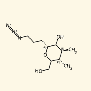 C[C@@H]1C(CO)O[C@H](CCCN=[N+]=[N-])C(O)[C@H]1C